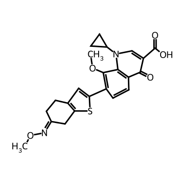 CON=C1CCc2cc(-c3ccc4c(=O)c(C(=O)O)cn(C5CC5)c4c3OC)sc2C1